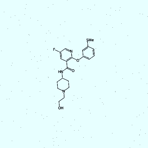 CSc1cccc(Oc2ncc(F)cc2C(=O)NC2CCN(CCO)CC2)c1